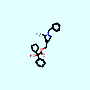 CC1C2C(COC(=O)C(O)(c3ccccc3)C3CCCC3)C2CN1Cc1ccccc1